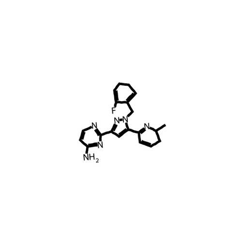 CC1CC=CC(c2cc(-c3nccc(N)n3)nn2CC2=CCCC=C2F)=N1